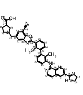 Cc1c(Nc2nccc3cc(C4=NCCN4)cnc23)cccc1-c1cccc(-c2nc3cc(CN4CCC(C(=O)O)C4)cc(C#N)c3o2)c1C